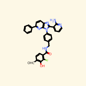 Nc1ncccc1-c1nc2ccc(-c3ccccc3)nc2n1-c1ccc(CNC(=O)c2ccc(C=O)c(O)c2F)cc1